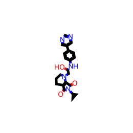 O=C1C2=C(C(=O)N1C1CC1)N(CC(O)Nc1ccc(-c3cncnc3)cc1)CCC2